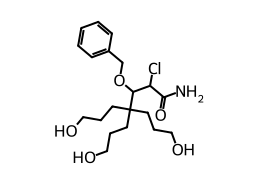 NC(=O)C(Cl)C(OCc1ccccc1)C(CCCO)(CCCO)CCCO